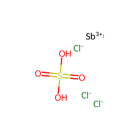 O=S(=O)(O)O.[Cl-].[Cl-].[Cl-].[Sb+3]